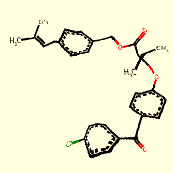 CC(C)=Cc1ccc(COC(=O)C(C)(C)Oc2ccc(C(=O)c3ccc(Cl)cc3)cc2)cc1